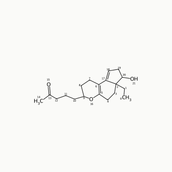 CCC12CCC3=C(CCC(CCCC(C)=O)O3)C1=CCC2O